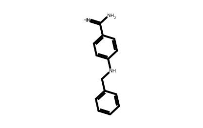 N=C(N)c1ccc(NCc2ccccc2)cc1